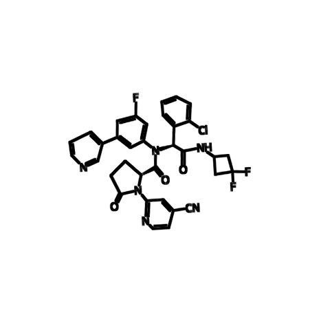 N#Cc1ccnc(N2C(=O)CC[C@H]2C(=O)N(c2cc(F)cc(-c3cccnc3)c2)[C@H](C(=O)NC2CC(F)(F)C2)c2ccccc2Cl)c1